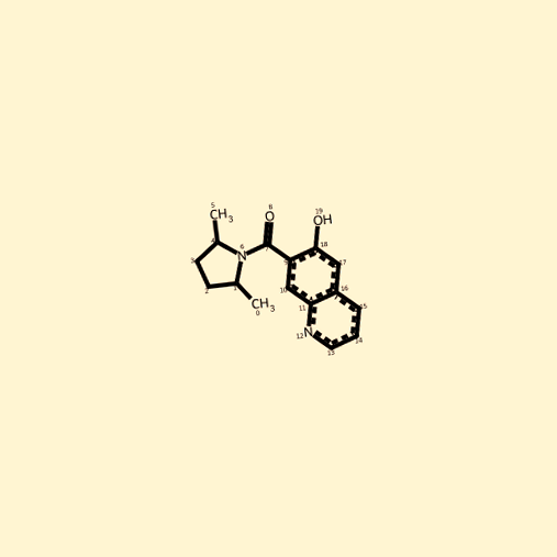 CC1CCC(C)N1C(=O)c1cc2ncccc2cc1O